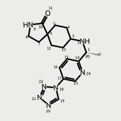 C[C@@H](NC1CCC2(CCNC2=O)CC1)c1ccc(-n2cnnn2)cn1